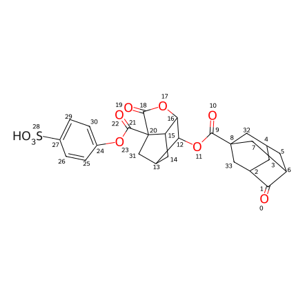 O=C1C2CC3CC1CC(C(=O)OC1C4CC5C1OC(=O)C5(C(=O)Oc1ccc(S(=O)(=O)O)cc1)C4)(C3)C2